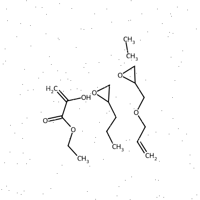 C=C(O)C(=O)OCC.C=CCOCC1CO1.CC.CCCC1CO1